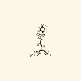 Cc1ccc(S(=O)(=O)OCCC[C@H](CC(F)(F)F)NC(=O)O)cc1